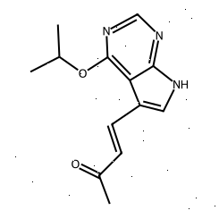 CC(=O)C=Cc1c[nH]c2ncnc(OC(C)C)c12